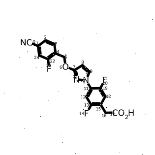 N#Cc1ccc(COc2ccn(-c3cc(F)c(CC(=O)O)cc3F)n2)c(F)c1